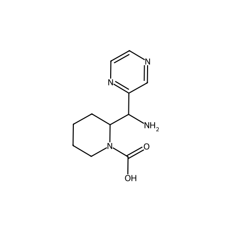 NC(c1cnccn1)C1CCCCN1C(=O)O